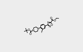 CCOC(=O)c1nc(-c2ccc(N3CCN(C(=O)OC(C)(C)C)CC3)c(F)c2)no1